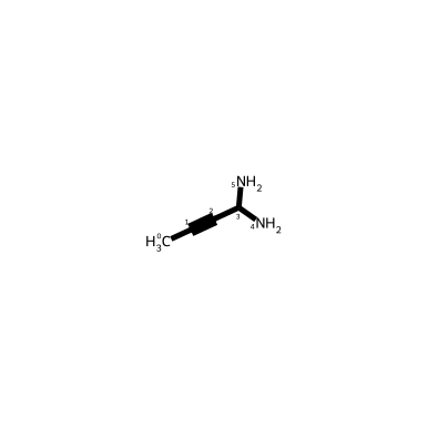 CC#CC(N)N